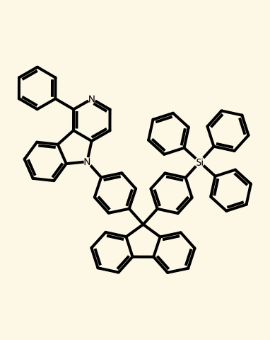 c1ccc(-c2nccc3c2c2ccccc2n3-c2ccc(C3(c4ccc([Si](c5ccccc5)(c5ccccc5)c5ccccc5)cc4)c4ccccc4-c4ccccc43)cc2)cc1